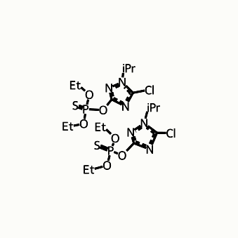 CCOP(=S)(OCC)Oc1nc(Cl)n(C(C)C)n1.CCOP(=S)(OCC)Oc1nc(Cl)n(C(C)C)n1